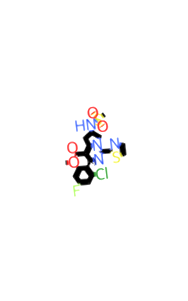 COC(=O)C1=C2CC(NS(C)(=O)=O)CN2C(c2nccs2)=N[C@H]1c1ccc(F)cc1Cl